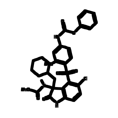 COC(=O)N(C)C1(CC2CCCCC2)C(=O)Nc2ccc(Cl)c(S(=O)(=O)c3ccc(NC(=O)Oc4ccccc4)cc3OC)c21